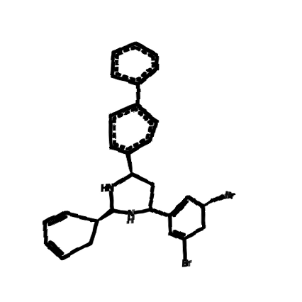 BrC1=CC(C2C[C@H](c3ccc(-c4ccccc4)cc3)NC([C@@H]3C=CC=CC3)N2)=C[C@@H](Br)C1